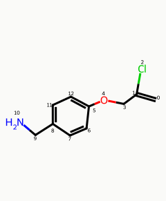 C=C(Cl)COc1ccc(CN)cc1